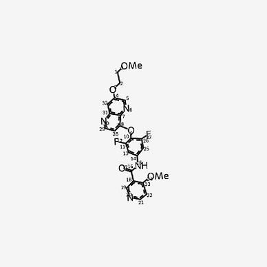 COCCOc1cnc2c(Oc3c(F)cc(NC(=O)c4cnccc4OC)cc3F)ccnc2c1